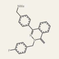 C=C1c2ccccc2C(c2ccc(CNC)cc2)=NN1Cc1ccc(F)cc1